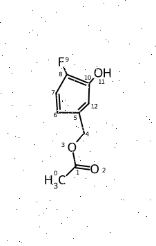 CC(=O)OCc1ccc(F)c(O)c1